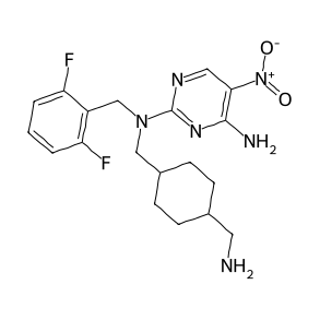 NCC1CCC(CN(Cc2c(F)cccc2F)c2ncc([N+](=O)[O-])c(N)n2)CC1